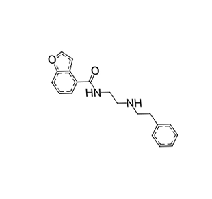 O=C(NCCNCCc1ccccc1)c1cccc2occc12